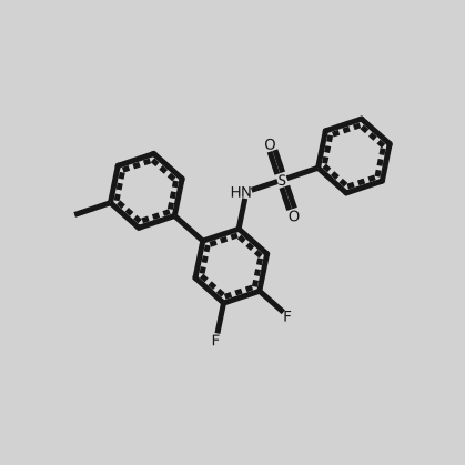 Cc1cccc(-c2cc(F)c(F)cc2NS(=O)(=O)c2ccccc2)c1